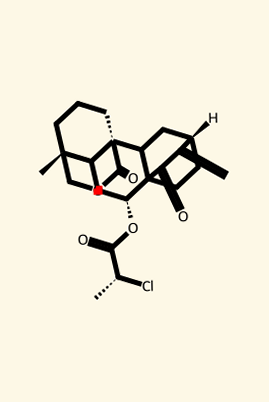 C=C1C(=O)C23CC[C@H]1CC2[C@@]12CCC[C@@](C)(COC1=O)C2C[C@H]3OC(=O)[C@@H](C)Cl